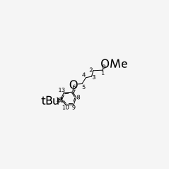 COCCCCCOc1cccc(C(C)(C)C)c1